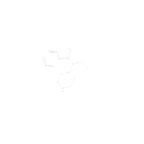 OCC(C1CSc2ccccc21)N1CCNCC1